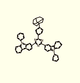 c1ccc(-n2c3ccccc3c3cc(-c4nc(-c5ccc(C67CC8CC(CC(C8)C6)C7)cc5)nc(-c5ccc6c7ccccc7n(-c7ccccc7)c6c5)n4)ccc32)cc1